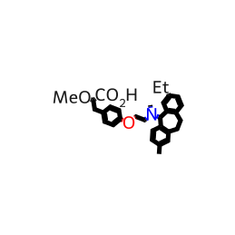 CCc1ccc2c(c1)C(N(C)CCOc1ccc(CC(OC)C(=O)O)cc1)c1ccc(C)cc1CC2